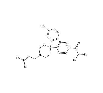 CCN(CC)CCN1CCC(c2cccc(O)c2)(c2ncc(C(=O)N(CC)CC)cn2)CC1